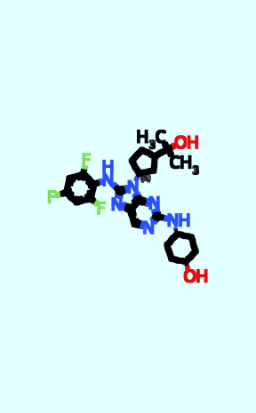 CC(C)(O)C1CC[C@H](n2c(Nc3c(F)cc(F)cc3F)nc3cnc(N[C@H]4CC[C@H](O)CC4)nc32)C1